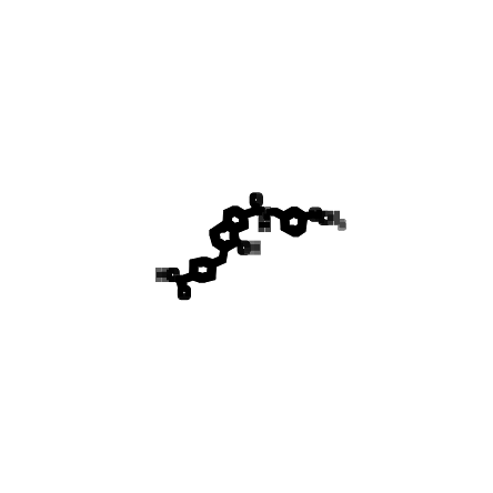 COc1cccc(CNC(=O)c2ccc3ccc(Cc4ccc(C(=O)O)cc4)c(O)c3c2)c1